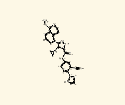 COc1nccc2c(-c3nsc(C(=O)Nc4cnc(-n5nccn5)c(C#N)c4)c3C3CC3)cccc12